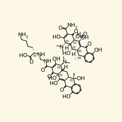 CN(C)[C@@H]1C(O)=C(C(=O)NCN[C@@H](CCCCN)C(=O)O)C(=O)[C@@]2(O)C(O)=C3C(=O)c4c(O)cccc4[C@@](C)(O)C3C[C@@H]12.C[C@H]1c2cccc(O)c2C(=O)C2=C(O)[C@]3(O)C(=O)C(C(N)=O)=C(O)[C@@H](N(C)C)[C@@H]3[C@@H](O)[C@@H]21.O